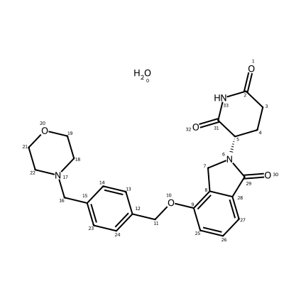 O.O=C1CC[C@H](N2Cc3c(OCc4ccc(CN5CCOCC5)cc4)cccc3C2=O)C(=O)N1